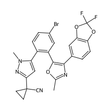 Cc1nc(-c2ccc3c(c2)OC(F)(F)O3)c(-c2cc(Br)ccc2-c2cc(C3(C#N)CC3)nn2C)o1